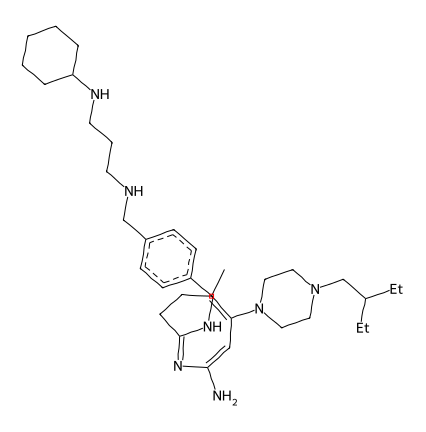 CCC(CC)CN1CCN(C2=C(\C)CC/C(NCc3ccc(CNCCCNC4CCCCC4)cc3)=N/C(N)=C\2)CC1